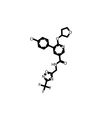 O=C(NCc1nc(C(F)(F)F)no1)c1cnc(OC2CCOC2)c(-c2ccc(Cl)cc2)c1